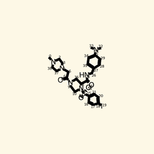 CN1CCN(CC(=O)N2CCN(S(=O)(=O)c3ccc(I)cc3)C(C(=O)NCc3ccc(N(C)C)cc3)C2)CC1